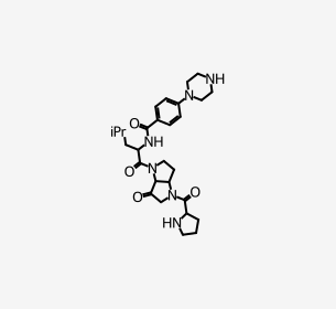 CC(C)CC(NC(=O)c1ccc(N2CCNCC2)cc1)C(=O)N1CCC2C1C(=O)CN2C(=O)C1CCCN1